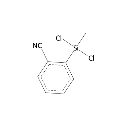 C[Si](Cl)(Cl)c1ccccc1C#N